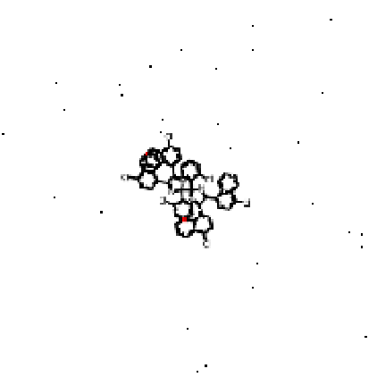 Clc1ccccc1C1(C2(c3ccccc3Cl)N=C(c3ccc(Cl)c4ccccc34)C(c3ccc(Cl)c4ccccc34)=N2)N=C(c2ccc(Cl)c3ccccc23)C(c2ccc(Cl)c3ccccc23)=N1